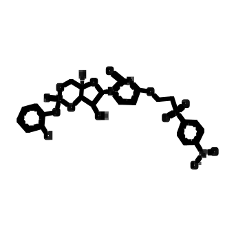 O=c1nc(OCCS(=O)(=O)c2ccc([N+](=O)[O-])cc2)ccn1[C@@H]1O[C@@H]2COP(=S)(Oc3ccccc3Cl)OC2C1O